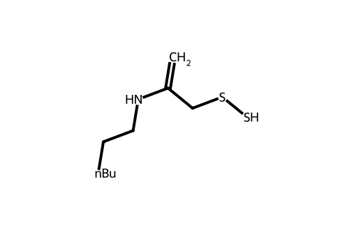 C=C(CSS)NCCCCCC